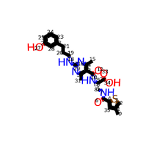 Cc1csc(C(=O)NC[C@H](NC(=O)c2c(C)nc(NCCCc3cccc(O)c3)nc2C)C(=O)O)c1